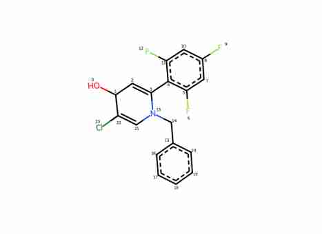 OC1C=C(c2c(F)cc(F)cc2F)N(Cc2ccccc2)C=C1Cl